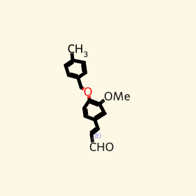 COc1cc(/C=C/C=O)ccc1OCc1ccc(C)cc1